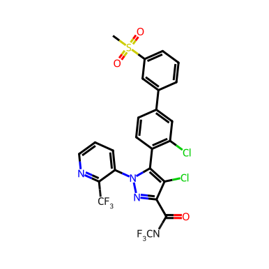 CS(=O)(=O)c1cccc(-c2ccc(-c3c(Cl)c(C(=O)NC(F)(F)F)nn3-c3cccnc3C(F)(F)F)c(Cl)c2)c1